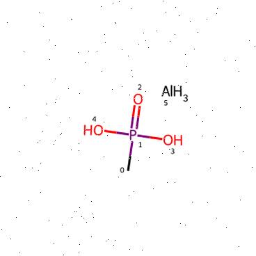 CP(=O)(O)O.[AlH3]